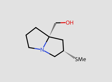 CS[C@@H]1CN2CCC[C@@]2(CO)C1